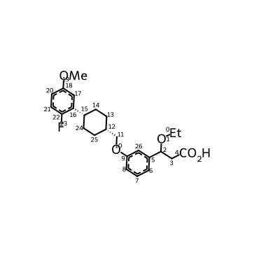 CCOC(CC(=O)O)c1cccc(OC[C@H]2CC[C@@H](c3cc(OC)ccc3F)CC2)c1